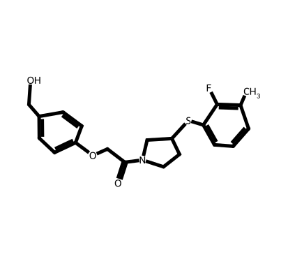 Cc1cccc(SC2CCN(C(=O)COc3ccc(CO)cc3)C2)c1F